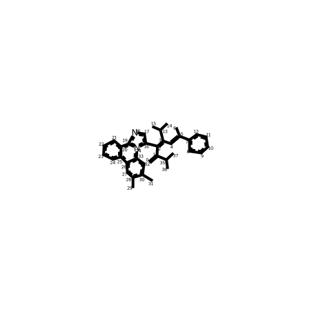 C=C(/C(=C(\C=C(/C)c1ccccc1)C(C)C)c1cnc2c3ccccc3c3cc(C)c(C)cc3n12)C(C)C